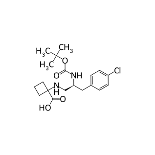 CC(C)(C)OC(=O)N[C@H](CNC1(C(=O)O)CCC1)Cc1ccc(Cl)cc1